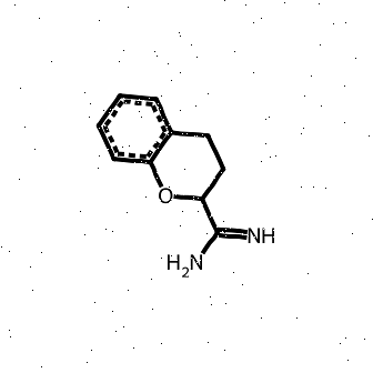 N=C(N)C1CCc2ccccc2O1